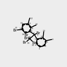 Cc1cccc(C(Br)(c2c(C)c(C)cc(Br)c2Br)C(Br)(Br)Br)c1C